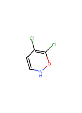 ClC1=C(Cl)ONC=C1